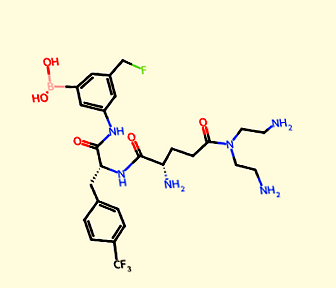 NCCN(CCN)C(=O)CC[C@H](N)C(=O)N[C@H](Cc1ccc(C(F)(F)F)cc1)C(=O)Nc1cc(CF)cc(B(O)O)c1